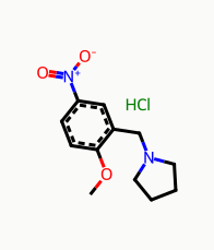 COc1ccc([N+](=O)[O-])cc1CN1CCCC1.Cl